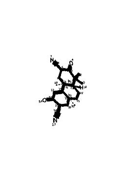 CC1(C)C(=O)C(C#N)C[C@]2(C)C3=CC(=O)C(C#N)C[C@]3(C)CC[C@@H]12